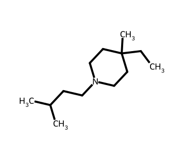 CCC1(C)CCN(CCC(C)C)CC1